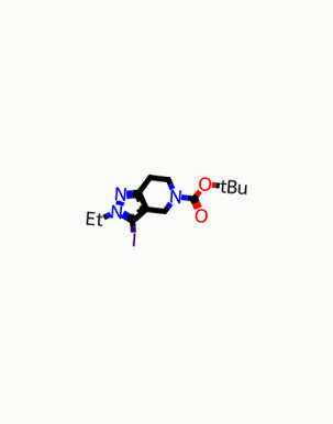 CCn1nc2c(c1I)CN(C(=O)OC(C)(C)C)CC2